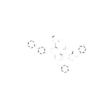 Cc1ccc(-c2ccc(C[C@@H](C[C@H](O)[C@H](Cc3ccccc3)NC(=O)[C@@H](N3CCN(Cc4ccccc4)C3=O)C(C)(C)C)NC(=O)[C@@H](NC(=O)O)C(C)(C)C)cc2)nc1